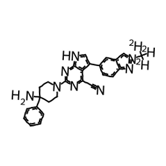 [2H]C([2H])([2H])n1cc2cc(-c3c[nH]c4nc(N5CCC(N)(c6ccccc6)CC5)nc(C#N)c34)ccc2n1